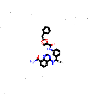 CC(Nc1ncnc2c(C(N)=O)cccc12)c1cccc(NC(=O)C2=COC(Cc3ccccc3)O2)c1